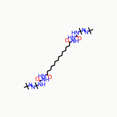 CC(C)(C)N=NC(C)(C)NC(=O)NNC(=O)CCCCCCCCCCCCC(=O)NNC(=O)NC(C)(C)N=NC(C)(C)C